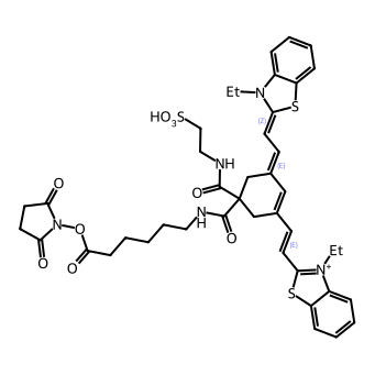 CCN1/C(=C/C=C2C=C(/C=C/c3sc4ccccc4[n+]3CC)CC(C(=O)NCCCCCC(=O)ON3C(=O)CCC3=O)(C(=O)NCCS(=O)(=O)O)C/2)Sc2ccccc21